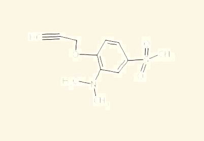 C#CCOc1ccc(S(C)(=O)=O)cc1N(C)C